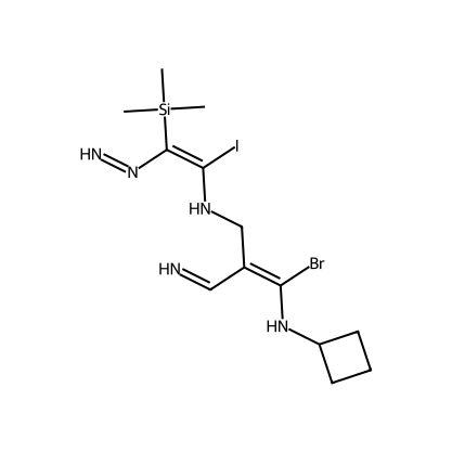 C[Si](C)(C)/C(N=N)=C(\I)NC/C(C=N)=C(\Br)NC1CCC1